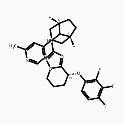 Cc1cc(N2C[C@H]3CC[C@@H](C2)C3Nc2nc3n(n2)CCC[C@H]3Oc2ccc(F)c(F)c2F)ncn1